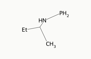 CCC(C)NP